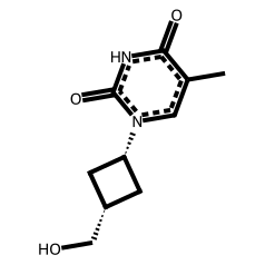 Cc1cn([C@H]2C[C@@H](CO)C2)c(=O)[nH]c1=O